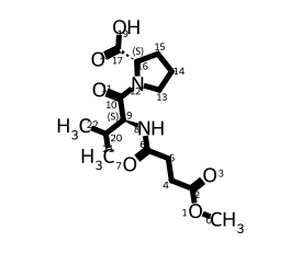 COC(=O)CCC(=O)N[C@H](C(=O)N1CCC[C@H]1C(=O)O)C(C)C